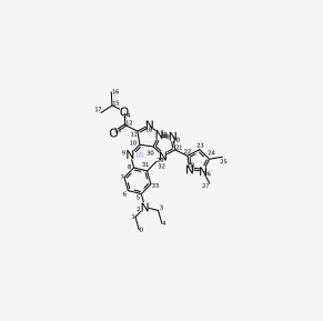 CCN(CC)c1ccc(/N=C2/C(C(=O)OC(C)C)=Nn3nc(-c4cc(C)n(C)n4)nc32)c(C)c1